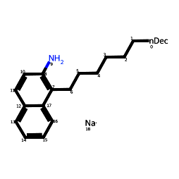 CCCCCCCCCCCCCCCCc1c(N)ccc2ccccc12.[Na]